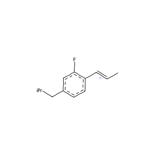 C/C=C/c1ccc(CC(C)C)cc1F